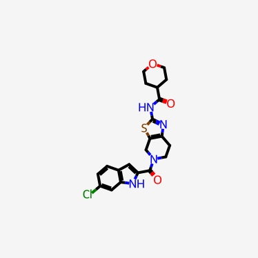 O=C(Nc1nc2c(s1)CN(C(=O)c1cc3ccc(Cl)cc3[nH]1)CC2)C1CCOCC1